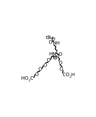 CC(C)(C)OC(=O)NCCCC[C@H](NC(=O)CCOCCOCCOCCOCCC(=O)O)C(=O)NCCOCCOCCC(=O)O